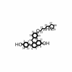 Oc1ccc(-c2ccc3cc(O)ccc3c2Cc2ccc(OCCCCC3CCCN3)cc2)cc1